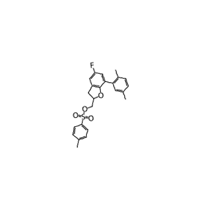 Cc1ccc(S(=O)(=O)OCC2Cc3cc(F)cc(-c4cc(C)ccc4C)c3O2)cc1